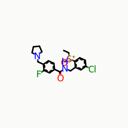 CC[S+]([O-])c1ccc(Cl)cc1CNC(=O)c1ccc(CN2CCCC2)c(F)c1